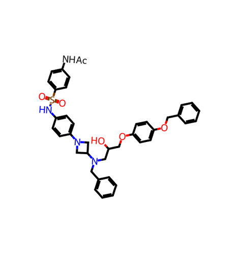 CC(=O)Nc1ccc(S(=O)(=O)Nc2ccc(N3CC(N(Cc4ccccc4)CC(O)COc4ccc(OCc5ccccc5)cc4)C3)cc2)cc1